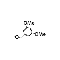 COc1cc(C[O])cc(OC)c1